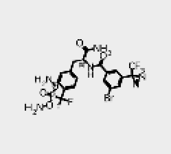 NOP(=O)(ON)C(F)(F)c1ccc(C[C@H](NC(=O)c2cc(Br)cc(C3(C(F)(F)F)N=N3)c2)C(N)=O)cc1